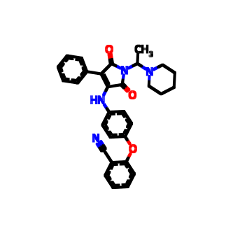 CC(N1CCCCC1)N1C(=O)C(Nc2ccc(Oc3ccccc3C#N)cc2)=C(c2ccccc2)C1=O